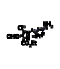 CCOC(=O)c1nn(C/C(=C/C(F)=C\N)C(C)C)c(Cl)c1C=O